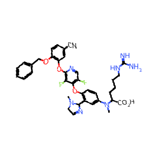 CN1CC=NC1c1cc(N(C)C(CCCCNC(=N)N)C(=O)O)ccc1Oc1c(F)cnc(Oc2cc(C#N)ccc2OCc2ccccc2)c1F